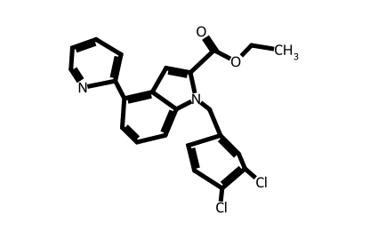 CCOC(=O)c1cc2c(-c3ccccn3)cccc2n1Cc1ccc(Cl)c(Cl)c1